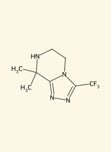 CC1(C)NCCn2c(C(F)(F)F)nnc21